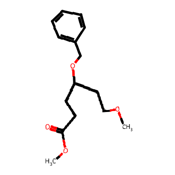 COCCC(CCC(=O)OC)OCc1ccccc1